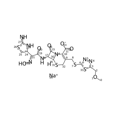 COCc1nnc(SCC2=C(C(=O)[O-])N3C(=O)C(NC(=O)C(=NO)c4csc(=N)[nH]4)[C@@H]3SC2)s1.[Na+]